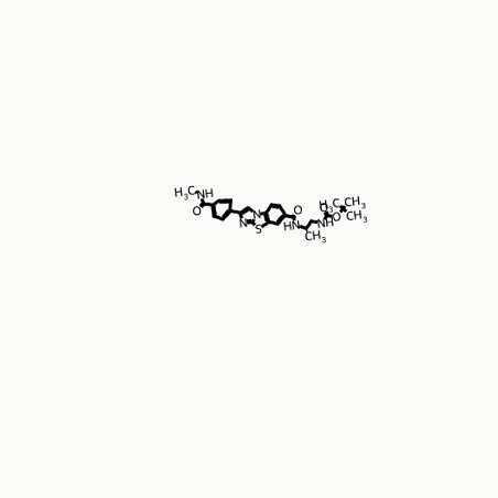 CNC(=O)c1ccc(-c2cn3c(n2)sc2cc(C(=O)N[C@@H](C)CNC(=O)OC(C)(C)C)ccc23)cc1